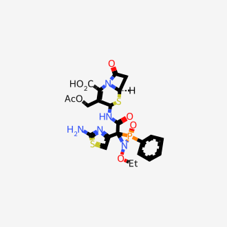 CCON1C(C(=O)NC2S[C@@H]3CC(=O)N3C(C(=O)O)=C2COC(C)=O)(c2csc(N)n2)P1(=O)c1ccccc1